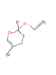 C=COC1(CC)CCC(CC)=CO1